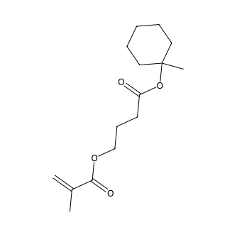 C=C(C)C(=O)OCCCC(=O)OC1(C)CCCCC1